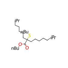 CCCCOC(=O)C(CCCCCC(C)C)(CCCCCC(C)C)SCCCC